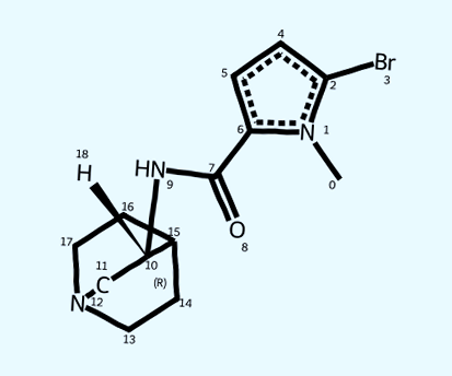 Cn1c(Br)ccc1C(=O)N[C@H]1CN2CCC1CC2